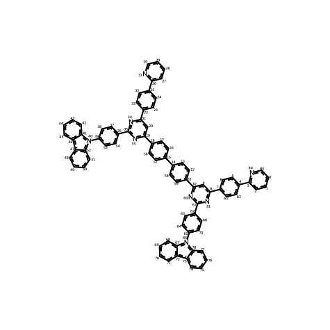 c1ccc(-c2ccc(-c3cc(-c4ccc(-c5ccc(-c6cc(-c7ccc(-c8ccccn8)cc7)nc(-c7ccc(-n8c9ccccc9c9ccccc98)cc7)n6)cc5)cc4)nc(-c4ccc(-n5c6ccccc6c6ccccc65)cc4)n3)cc2)nc1